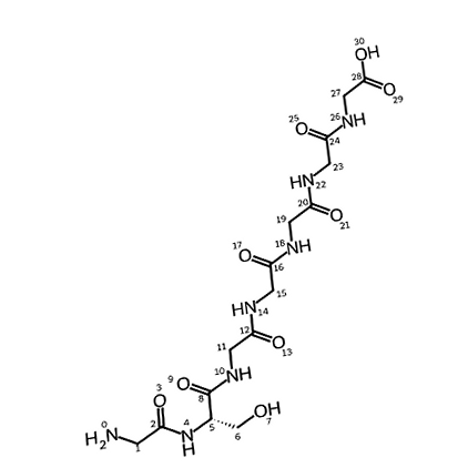 NCC(=O)N[C@@H](CO)C(=O)NCC(=O)NCC(=O)NCC(=O)NCC(=O)NCC(=O)O